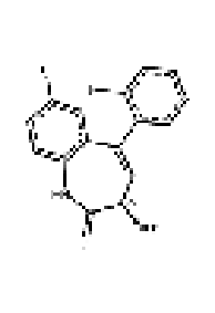 CCC[C@@H]1N=C(c2ccccc2F)c2cc(Cl)ccc2NC1=O